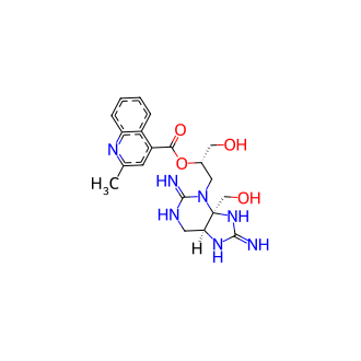 Cc1cc(C(=O)O[C@H](CO)CN2C(=N)NC[C@@H]3NC(=N)N[C@@]32CO)c2ccccc2n1